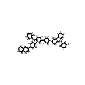 c1ccc(-n2c3ccccc3c3cc(-c4ccc(-c5ccc6c(c5)c5ccc(-c7ccc8ccccc8c7)cc5n6-c5ccccc5)cc4)ccc32)cc1